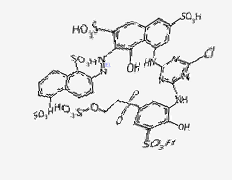 O=S(=O)(O)OCCS(=O)(=O)c1cc(Nc2nc(Cl)nc(Nc3cc(S(=O)(=O)O)cc4cc(S(=O)(=O)O)c(/N=N/c5ccc6c(S(=O)(=O)O)cccc6c5S(=O)(=O)O)c(O)c34)n2)c(O)c(S(=O)(=O)O)c1